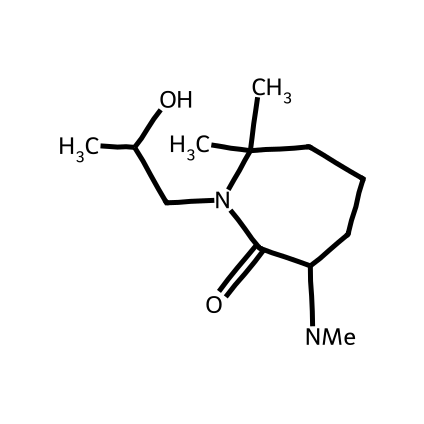 CNC1CCCC(C)(C)N(CC(C)O)C1=O